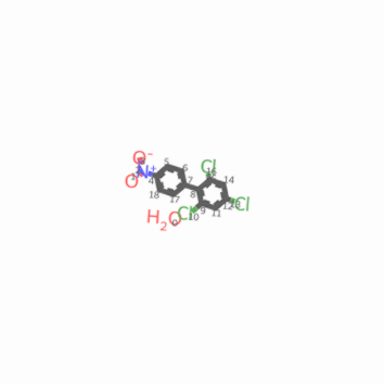 O.O=[N+]([O-])c1ccc(-c2c(Cl)cc(Cl)cc2Cl)cc1